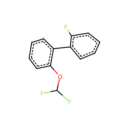 Fc1ccccc1-c1[c]cccc1OC(F)F